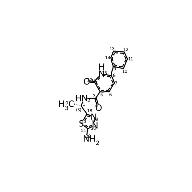 C[C@H](NC(=O)c1ccc(-c2ccccc2)[nH]c1=O)c1nnc(N)s1